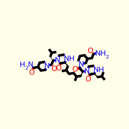 CC(C)C[C@@H]1NCCN([C@@H](CC(C)CCC(C)C[C@@H]2NCCN([C@@H](CC(C)C)C(=O)N3CCC(C(N)=O)CC3)C2=O)C(=O)N2CCCC(CC(N)=O)C2)C1=O